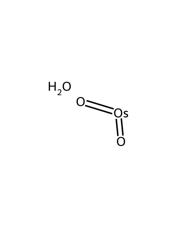 O.[O]=[Os]=[O]